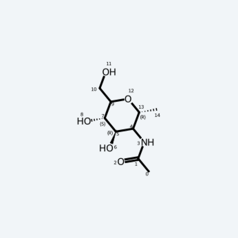 CC(=O)NC1[C@@H](O)[C@H](O)C(CO)O[C@@H]1C